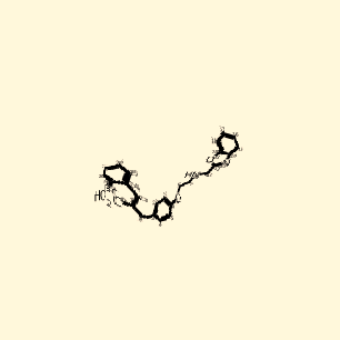 O=C(O)C(Cc1ccc(OCCNCc2nc3ccccc3o2)cc1)Cc1ccccc1Br